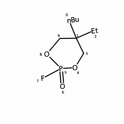 CCCCC1(CC)COP(=O)(F)OC1